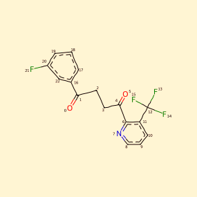 O=C(CCC(=O)c1ncccc1C(F)(F)F)c1cccc(F)c1